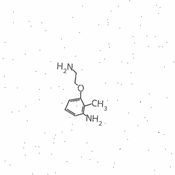 Cc1c(N)cccc1OCCN